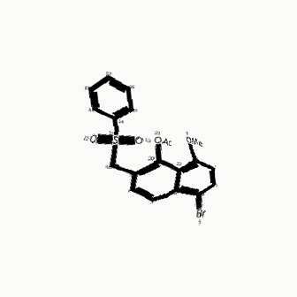 COc1ccc(Br)c2ccc(CS(=O)(=O)c3ccccc3)c(OC(C)=O)c12